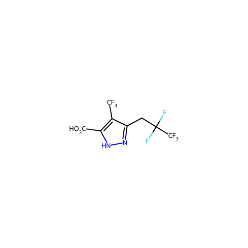 O=C(O)c1[nH]nc(CC(F)(F)C(F)(F)F)c1C(F)(F)F